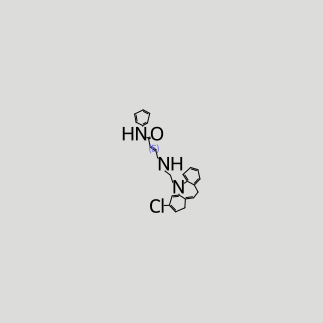 O=C(/C=C/CNCCCN1C2=CC(Cl)=CCC2=CCc2ccccc21)Nc1ccccc1